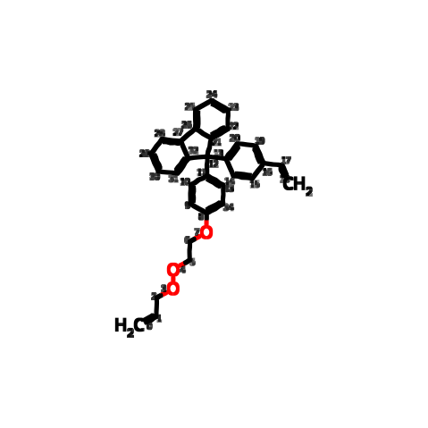 C=CCOOCCOc1ccc(C2(c3ccc(C=C)cc3)c3ccccc3-c3ccccc32)cc1